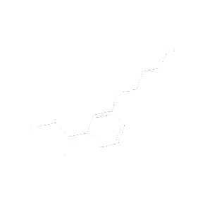 CCCCOCCOc1cccc([C@H](O)CN)c1